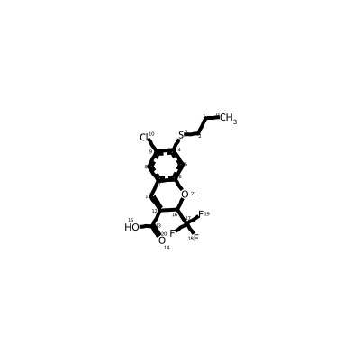 CCCSc1cc2c(cc1Cl)C=C(C(=O)O)C(C(F)(F)F)O2